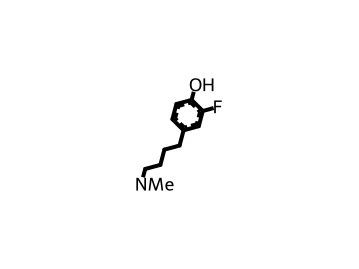 CNCCCCc1ccc(O)c(F)c1